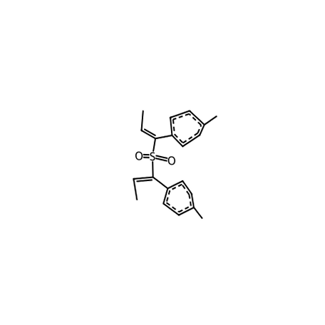 C/C=C(\c1ccc(C)cc1)S(=O)(=O)/C(=C/C)c1ccc(C)cc1